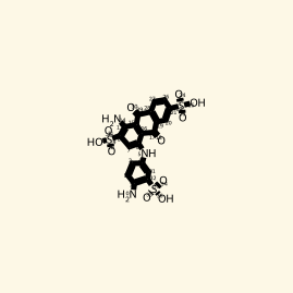 Nc1ccc(Nc2cc(S(=O)(=O)O)c(N)c3c2C(=O)c2cc(S(=O)(=O)O)ccc2C3=O)cc1S(=O)(=O)O